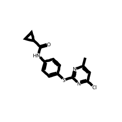 Cc1cc(Cl)nc(Sc2ccc(NC(=O)C3CC3)cc2)n1